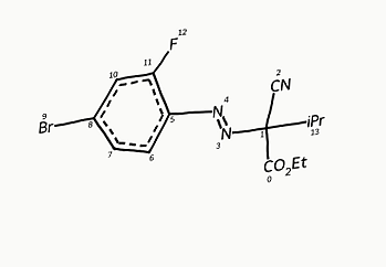 CCOC(=O)C(C#N)(/N=N/c1ccc(Br)cc1F)C(C)C